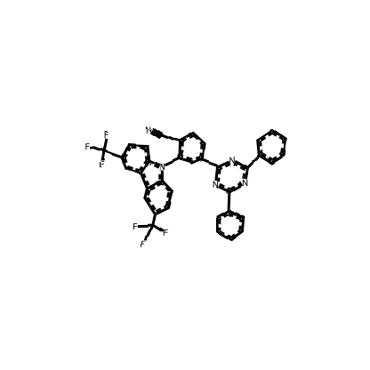 N#Cc1ccc(-c2nc(-c3ccccc3)nc(-c3ccccc3)n2)cc1-n1c2ccc(C(F)(F)F)cc2c2cc(C(F)(F)F)ccc21